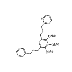 COc1c(CCCc2ccccc2)[c]c(CCCc2ccccn2)c(OC)c1OC